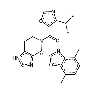 Cc1ccc(C)c2oc([C@@H]3c4nc[nH]c4CCN3C(=O)c3ocnc3C(F)F)nc12